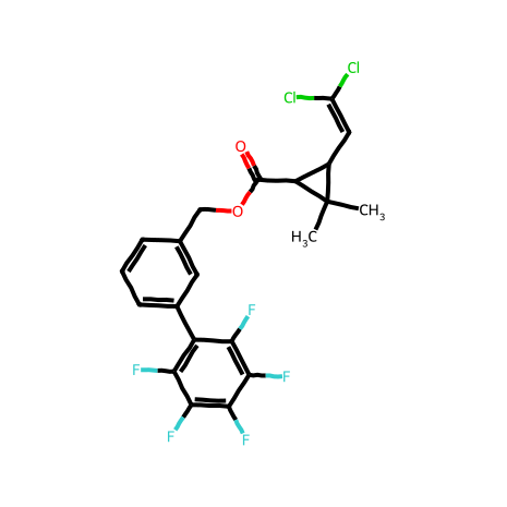 CC1(C)C(C=C(Cl)Cl)C1C(=O)OCc1cccc(-c2c(F)c(F)c(F)c(F)c2F)c1